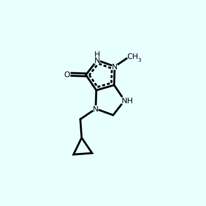 Cn1[nH]c(=O)c2c1NCN2CC1CC1